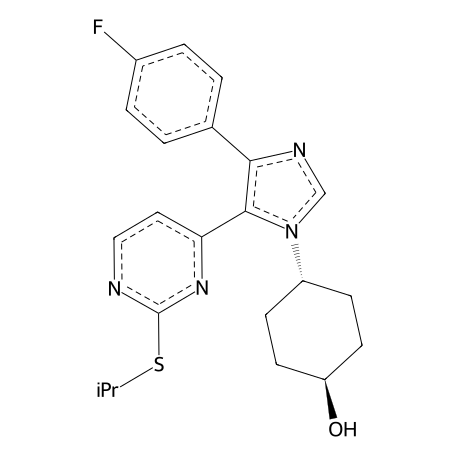 CC(C)Sc1nccc(-c2c(-c3ccc(F)cc3)ncn2[C@H]2CC[C@H](O)CC2)n1